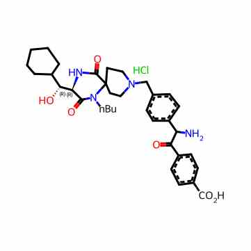 CCCCN1C(=O)[C@@H]([C@H](O)C2CCCCC2)NC(=O)C12CCN(Cc1ccc(C(N)C(=O)c3ccc(C(=O)O)cc3)cc1)CC2.Cl